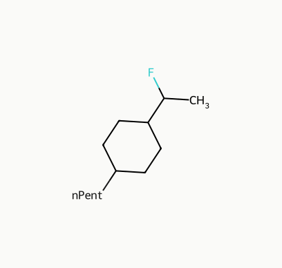 CCCCCC1CCC(C(C)F)CC1